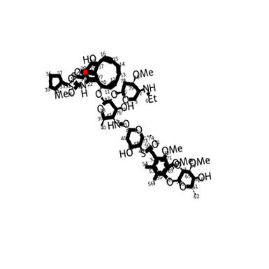 CCN[C@H]1CO[C@@H](O[C@H]2[C@H](O[C@H]3C#C/C=C\C#C[C@]4(O)CC(=O)C(NC(=O)OC)=C3/C4=C\CSSC3CCCC3)O[C@H](C)[C@@H](NO[C@H]3C[C@H](O)[C@H](SC(=O)c4c(C)c(I)c(O[C@@H]5O[C@@H](C)[C@H](O)[C@@H](OC)[C@H]5O)c(OC)c4OC)[C@@H](C)O3)[C@@H]2O)C[C@@H]1OC